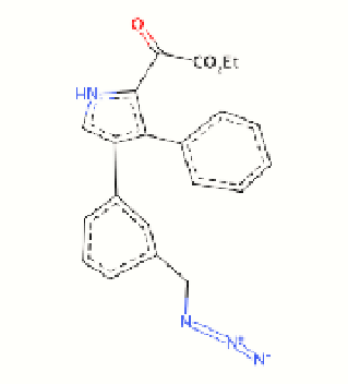 CCOC(=O)C(=O)c1[nH]cc(-c2cccc(CN=[N+]=[N-])c2)c1-c1ccccc1